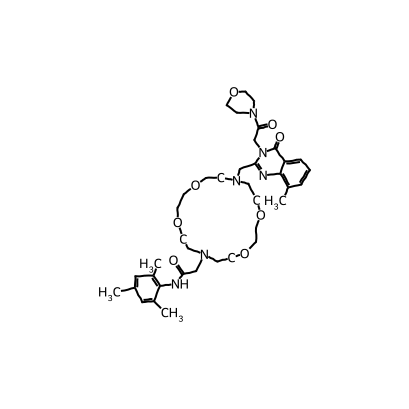 Cc1cc(C)c(NC(=O)CN2CCOCCOCCN(Cc3nc4c(C)cccc4c(=O)n3CC(=O)N3CCOCC3)CCOCCOCC2)c(C)c1